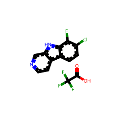 Fc1c(Cl)ccc2c1[nH]c1cnccc12.O=C(O)C(F)(F)F